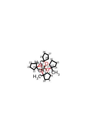 CC1(O[Si](OC2(C)CCCC2)(OC2(C)CCCC2)OC2(C)CCCC2)CCCC1